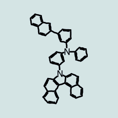 c1ccc(N(c2cccc(-c3ccc4ccccc4c3)c2)c2cccc(-n3c4ccc5ccccc5c4c4c5ccccc5ccc43)c2)cc1